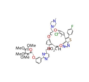 CO[C@H]1O[C@H](COc2cccc(-c3nccc(COc4ccc5cc4C[C@H](C(=O)O)Oc4ncnc6sc(-c7ccc(F)cc7)c(c46)-c4ccc(c(Cl)c4C)OC(CN4CCN(C)CC4)CO5)n3)c2)[C@@H](OC)[C@H](OC)[C@@H]1OC